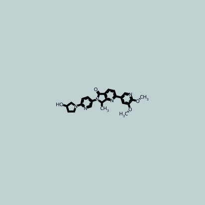 COc1cc(-c2ccc3c(n2)C(C)N(c2ccc(N4CCC(O)C4)nc2)C3=O)cnc1OC